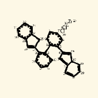 C1=CC2=CC(c3ccccc3-c3ccccc3C3=Cc4ccccc4C3)=CC2C=C1.[Cl-].[Cl-].[Zr+2]